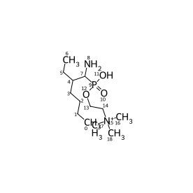 CCCCC(CC)C(N)P(=O)(O)OCC[N+](C)(C)C